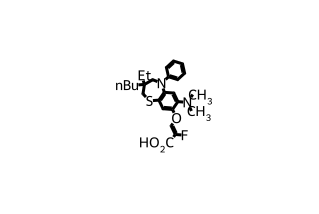 CCCCC1(CC)CSc2cc(O/C=C(\F)C(=O)O)c(N(C)C)cc2N(c2ccccc2)C1